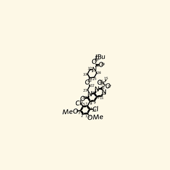 COc1cc(OC)c(Cl)c(-c2cc3cnc(S(C)(=O)=O)nc3n(CCOC3CCN(C(=O)OC(C)(C)C)CC3)c2=O)c1Cl